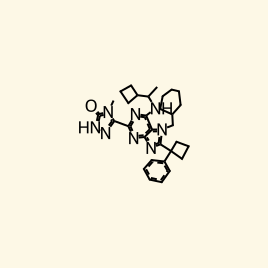 CC(Nc1nc(-c2n[nH]c(=O)n2C)nc2nc(C3(c4ccccc4)CCC3)n(CC3CCCCC3)c12)C1CCC1